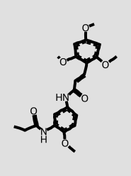 CCC(=O)Nc1cc(NC(=O)/C=C/c2c(OC)cc(OC)cc2OC)ccc1OC